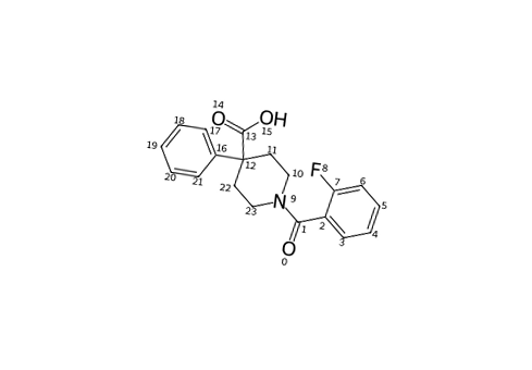 O=C(c1ccccc1F)N1CCC(C(=O)O)(c2ccccc2)CC1